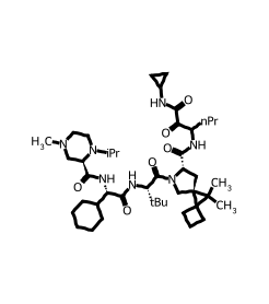 CCCC(NC(=O)[C@@H]1C[C@@]2(CN1C(=O)[C@@H](NC(=O)[C@@H](NC(=O)[C@H]1CN(C)CCN1C(C)C)C1CCCCC1)C(C)(C)C)C(C)(C)C21CCC1)C(=O)C(=O)NC1CC1